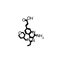 CCc1nc2c(N)nc3cc(C=CC(=O)O)ccc3c2n1CC1CCOCC1